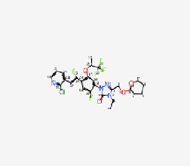 CCn1c(COC2CCCCO2)nn(-c2cc(O[C@@H](C)C(F)(F)F)c(/C(F)=C/c3cccnc3Cl)cc2F)c1=O